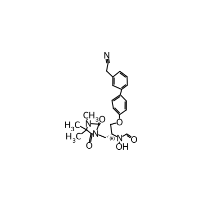 CN1C(=O)N(C[C@H](COc2ccc(-c3cccc(CC#N)c3)cc2)N(O)C=O)C(=O)C1(C)C